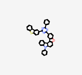 C1=CC2C(c3ccccc3N2c2ccccc2)c2c1oc1ccc(-c3nc(-c4ccccc4)nc(-c4ccc5sc6ccccc6c5c4)n3)cc21